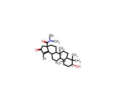 CC(C)C1=C2C3CCC4[C@@](C)(CCC5C(C)(C)[C@@H](O)CC[C@@]54C)C3CCC2(C(=O)N(C)C(C)(C)C)CC1=O